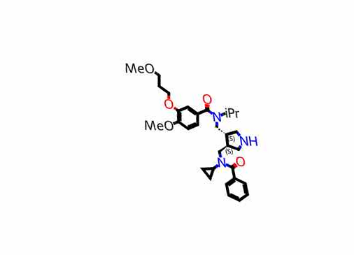 COCCCOc1cc(C(=O)N(C[C@@H]2CNC[C@H]2CN(C(=O)c2ccccc2)C2CC2)C(C)C)ccc1OC